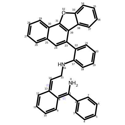 N/C(c1ccccc1)=c1/cccc/c1=C/CNc1ccccc1-c1cc2ccccc2c2oc3ccccc3c12